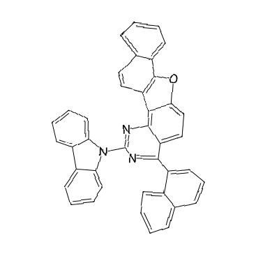 c1ccc2c(-c3nc(-n4c5ccccc5c5ccccc54)nc4c3ccc3oc5c6ccccc6ccc5c34)cccc2c1